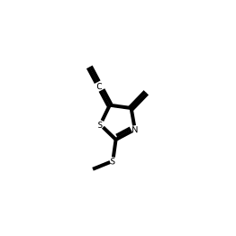 C=C=c1sc(SC)nc1=C